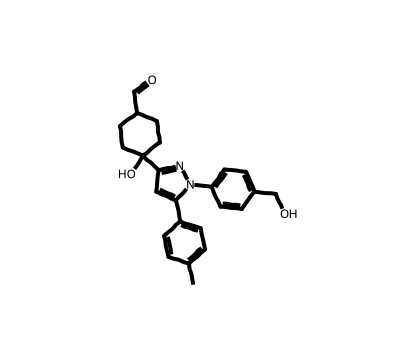 Cc1ccc(-c2cc(C3(O)CCC(C=O)CC3)nn2-c2ccc(CO)cc2)cc1